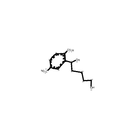 O=C(O)c1ccc(C(=O)O)c(C(O)CCCCO)c1